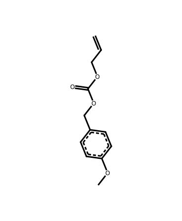 C=CCOC(=O)OCc1ccc(OC)cc1